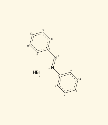 Br.c1ccc(N=Nc2ccccc2)cc1